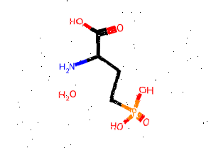 NC(CCP(=O)(O)O)C(=O)O.O